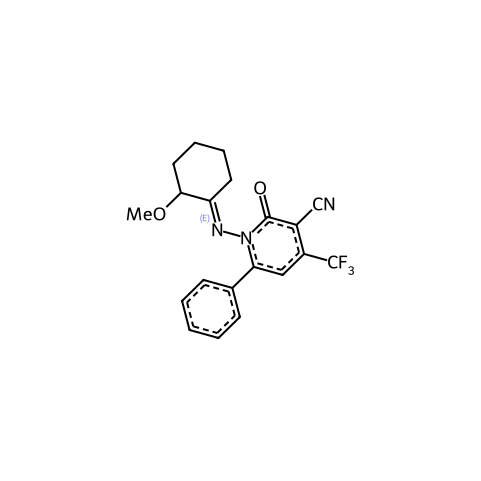 COC1CCCC/C1=N\n1c(-c2ccccc2)cc(C(F)(F)F)c(C#N)c1=O